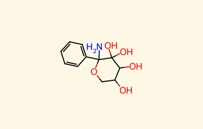 NC1(c2ccccc2)OCC(O)C(O)C1(O)O